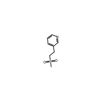 CS(=O)(=O)CCc1cccnc1